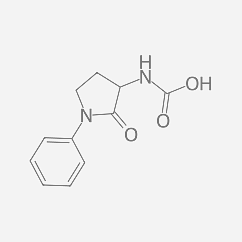 O=C(O)NC1CCN(c2ccccc2)C1=O